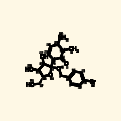 CN1C(=O)N([C@]2(OCc3ccc(Br)cc3)O[C@H](CO)[C@@H](O)[C@H]2O)C=CC1N